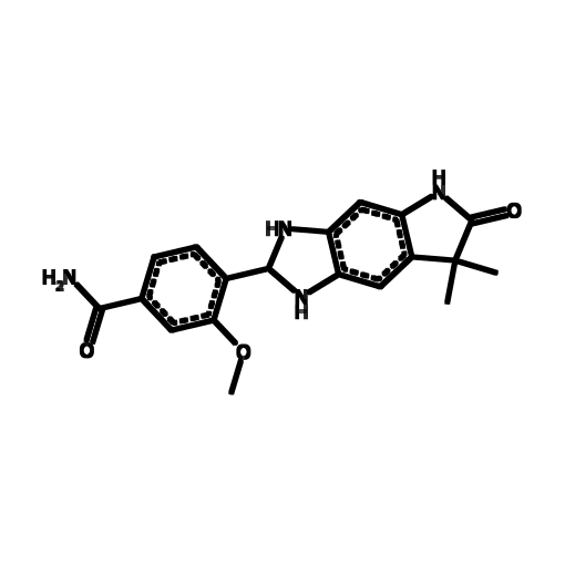 COc1cc(C(N)=O)ccc1C1Nc2cc3c(cc2N1)C(C)(C)C(=O)N3